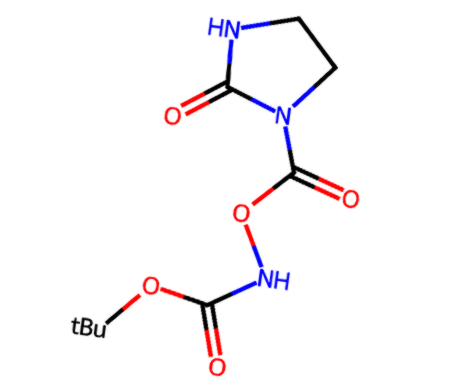 CC(C)(C)OC(=O)NOC(=O)N1CCNC1=O